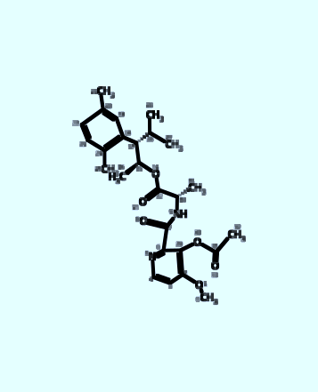 COc1ccnc(C(=O)N[C@@H](C)C(=O)O[C@@H](C)[C@H](c2cc(C)ccc2C)C(C)C)c1OC(C)=O